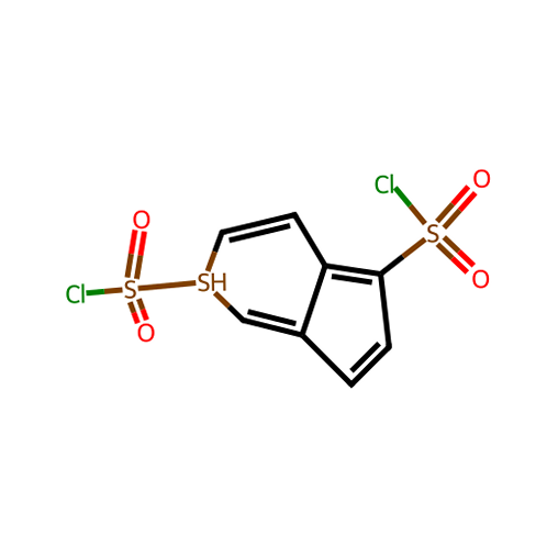 O=S(=O)(Cl)C1=C2C=C[SH](S(=O)(=O)Cl)C=C2C=C1